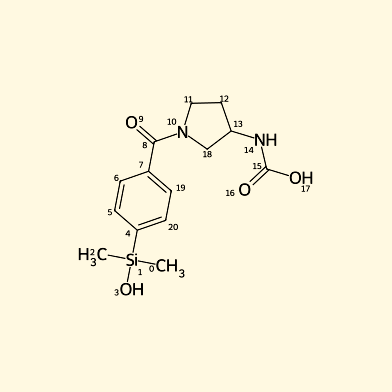 C[Si](C)(O)c1ccc(C(=O)N2CCC(NC(=O)O)C2)cc1